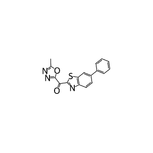 Cc1nnc(C(=O)c2nc3ccc(-c4ccccc4)cc3s2)o1